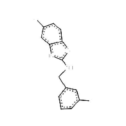 Clc1cccc(CNc2nc3ccc(Br)cc3[nH]2)c1